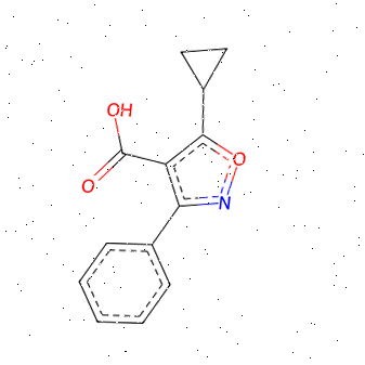 O=C(O)c1c(-c2ccccc2)noc1C1CC1